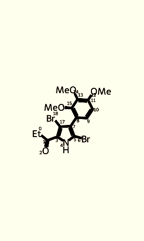 CCC(=O)c1[nH]c(Br)c(-c2ccc(OC)c(OC)c2OC)c1Br